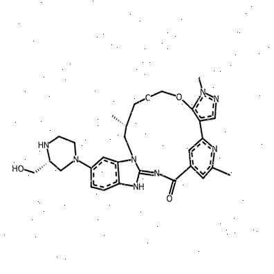 Cc1cc2cc(n1)-c1cnn(C)c1OCCC[C@@H](C)CN1/C(=N/C2=O)Nc2ccc(N3CCN[C@@H](CO)C3)cc21